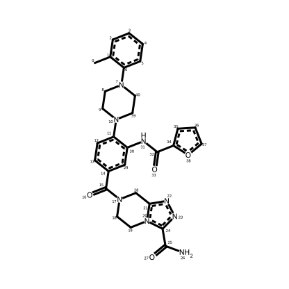 Cc1ccccc1N1CCN(c2ccc(C(=O)N3CCn4c(nnc4C(N)=O)C3)cc2NC(=O)c2ccco2)CC1